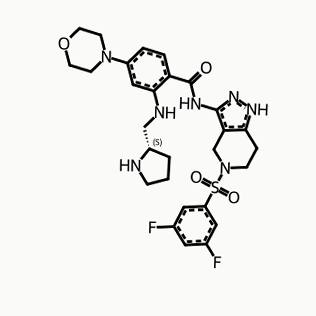 O=C(Nc1n[nH]c2c1CN(S(=O)(=O)c1cc(F)cc(F)c1)CC2)c1ccc(N2CCOCC2)cc1NC[C@@H]1CCCN1